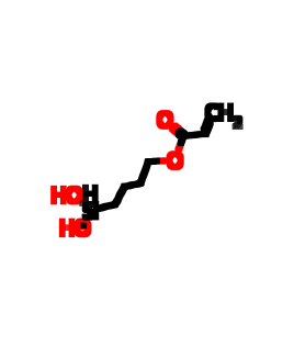 C=CC(=O)OCCCC[SiH](O)O